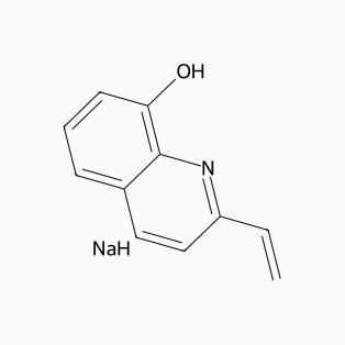 C=Cc1ccc2cccc(O)c2n1.[NaH]